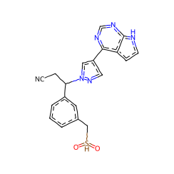 N#CCC(c1cccc(C[SH](=O)=O)c1)n1cc(-c2ncnc3[nH]ccc23)cn1